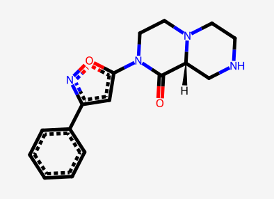 O=C1[C@H]2CNCCN2CCN1c1cc(-c2ccccc2)no1